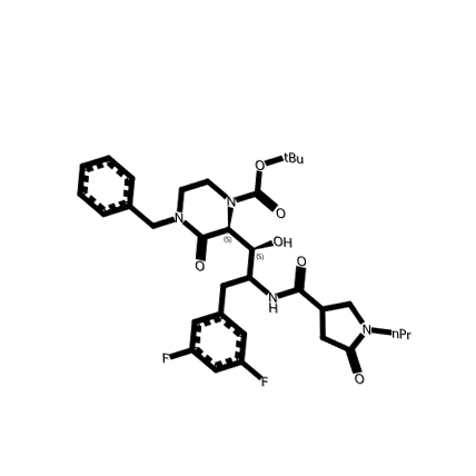 CCCN1CC(C(=O)NC(Cc2cc(F)cc(F)c2)[C@H](O)[C@H]2C(=O)N(Cc3ccccc3)CCN2C(=O)OC(C)(C)C)CC1=O